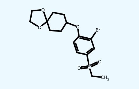 CCS(=O)(=O)c1ccc(OC2CCC3(CC2)OCCO3)c(Br)c1